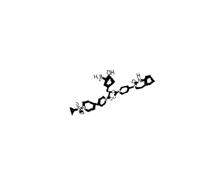 Bc1cc(C[C@@H](OC(=O)N2CCC(N3CCc4ccccc4NC3=O)CC2)C(=O)N2CCC(C3CCN(S(=O)(=O)C4CC4)CC3)CC2)ccc1O